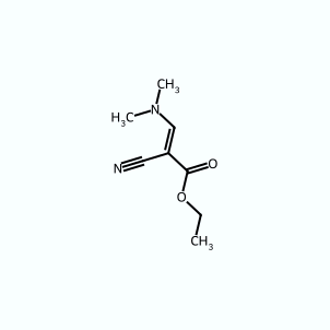 CCOC(=O)/C(C#N)=C/N(C)C